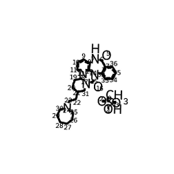 CS(=O)(=O)O.O=C1Nc2cccnc2N(C(=O)N2CCCC(CCN3CCCCCC3)C2)c2ccccc21